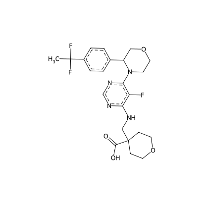 CC(F)(F)c1ccc(C2COCCN2c2ncnc(NCC3(C(=O)O)CCOCC3)c2F)cc1